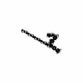 COCCOCCOCCOCCOCCOCCOCCOCCOc1nn([C@H]2CC[C@H](N3C[C@@H](C)O[C@@H](C)C3)CC2)cc1Nc1ncc(-c2ccc(Cl)c(O[C@@H](C)Cn3cnnn3)c2)cn1